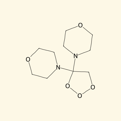 C1CN(C2(N3CCOCC3)COOO2)CCO1